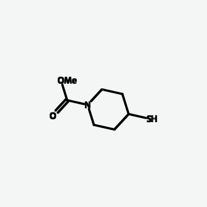 COC(=O)N1CCC(S)CC1